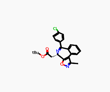 Cc1noc2c1-c1ccccc1C(c1ccc(Cl)cc1)=N[C@H]2CC(=O)OC(C)(C)C